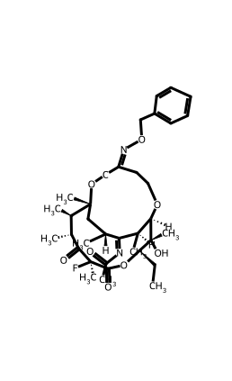 CC[C@H]1OC(=O)[C@@](C)(F)C(=O)[C@H](C)[C@@H](C)[C@@]2(C)C[C@@H](C)/C(=N\C(C)=O)[C@H](C)[C@@H](OCC/C(=N\OCc3ccccc3)CO2)[C@]1(C)O